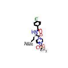 CNCCC[C@H](NC(=O)c1ccc(F)cc1)C(=O)N1CCN(S(C)(=O)=O)CC1